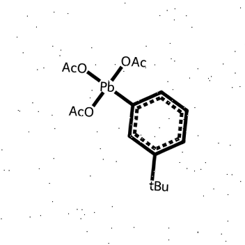 CC(=O)[O][Pb]([O]C(C)=O)([O]C(C)=O)[c]1cccc(C(C)(C)C)c1